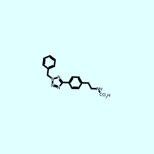 O=C(O)NCCc1ccc(-c2nnn(Cc3ccccc3)n2)cc1